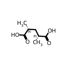 C[C@H](C[C@@H](C)C(=O)O)C(=O)O